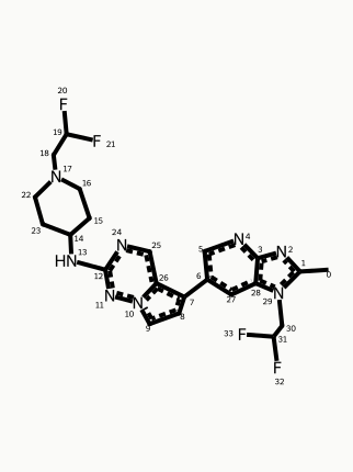 Cc1nc2ncc(-c3ccn4nc(NC5CCN(CC(F)F)CC5)ncc34)cc2n1CC(F)F